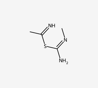 C/N=C(/N)SC(C)=N